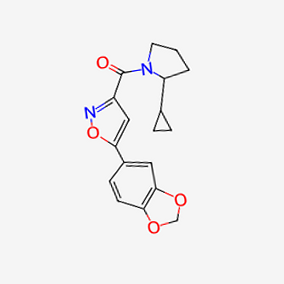 O=C(c1cc(-c2ccc3c(c2)OCO3)on1)N1CCCC1C1CC1